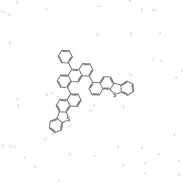 c1ccc(-c2c3cccc(-c4cccc5c4ccc4c6ccccc6sc54)c3cc3c(-c4cccc5c4ccc4c6ccccc6sc54)cccc23)cc1